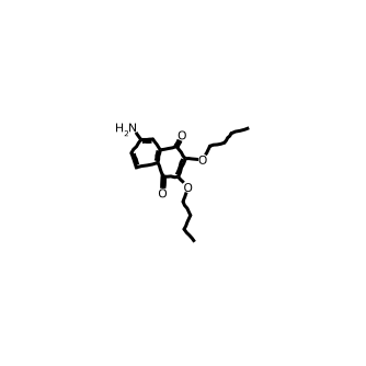 CCCCOC1=C(OCCCC)C(=O)c2cc(N)ccc2C1=O